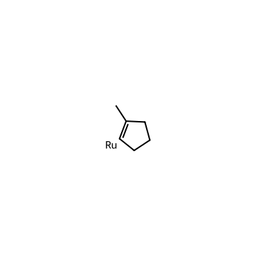 CC1=CCCC1.[Ru]